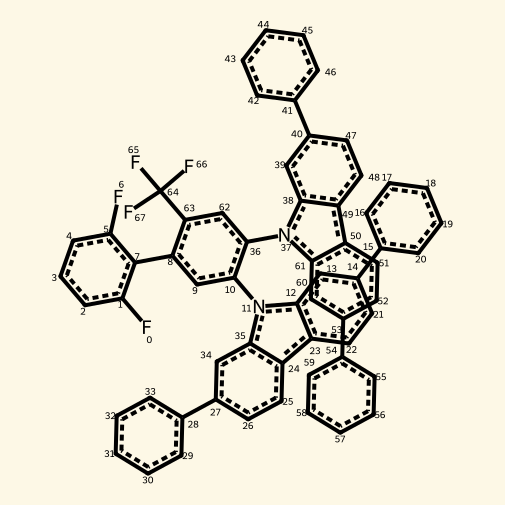 Fc1cccc(F)c1-c1cc(-n2c3cc(-c4ccccc4)ccc3c3ccc(-c4ccccc4)cc32)c(-n2c3cc(-c4ccccc4)ccc3c3ccc(-c4ccccc4)cc32)cc1C(F)(F)F